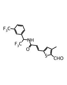 Cc1cc(C=CC(=O)NC(c2cccc(C(F)(F)F)c2)C(F)(F)F)sc1C=O